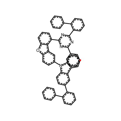 c1ccc(-c2nc(-c3ccccc3-c3ccccc3)nc(-c3cccc4oc5ccc(-n6c7ccccc7c7cc(-c8ccccc8-c8ccccc8)ccc76)cc5c34)n2)cc1